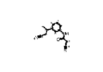 CC(CC#N)c1cccc(NC(=O)CC#N)c1